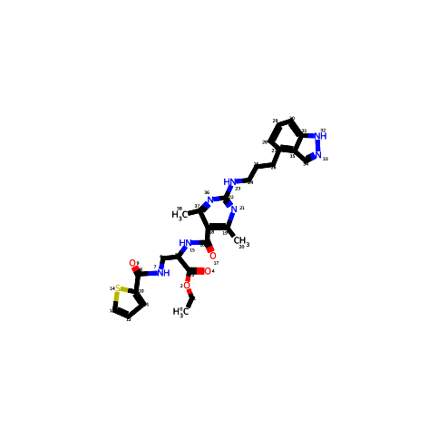 CCOC(=O)C(CNC(=O)c1cccs1)NC(=O)c1c(C)nc(NCCCc2cccc3[nH]ncc23)nc1C